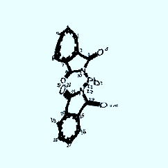 O=C1c2ccccc2C(=O)[N]1[Pb][N]1C(=O)c2ccccc2C1=O